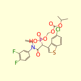 C=CN(C(=O)C(c1csc2ccc(Cl)cc12)P(=O)(O)OCOC(=O)OC(C)C)c1ccc(F)c(F)c1